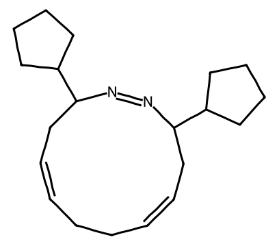 C1=CCC(C2CCCC2)N=NC(C2CCCC2)CC=CCC1